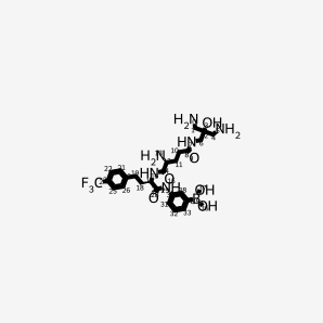 NCC(O)(CN)CNC(=O)CC[C@H](N)C(=O)N[C@H](CCc1ccc(C(F)(F)F)cc1)C(=O)Nc1cccc(B(O)O)c1